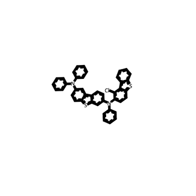 Clc1c(N(c2ccccc2)c2ccc3c(c2)sc2ccc(N(c4ccccc4)c4ccccc4)cc23)ccc2sc3ccccc3c12